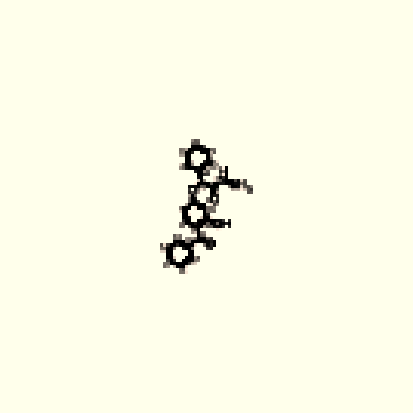 NNC(=O)C(Oc1ccc(C(=O)c2ccccc2)c(O)c1)c1ccccc1